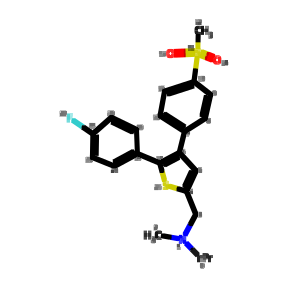 CCCN(C)Cc1cc(-c2ccc(S(C)(=O)=O)cc2)c(-c2ccc(F)cc2)s1